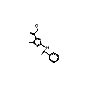 Cc1nc(NC(=O)c2ccccc2)sc1C(=O)CCl